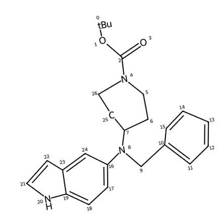 CC(C)(C)OC(=O)N1CCC(N(Cc2ccccc2)c2ccc3[nH]ccc3c2)CC1